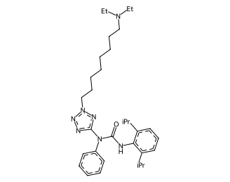 CCN(CC)CCCCCCCCn1nnc(N(C(=O)Nc2c(C(C)C)cccc2C(C)C)c2ccccc2)n1